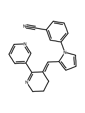 N#Cc1cccc(-n2cccc2C=C2CCCN=C2c2cccnc2)c1